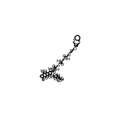 COc1cccc2c1C(=O)c1c(O)c3c(c(O)c1C2=O)C[C@@](O)(C(=O)NNC(=O)CCSCC(=O)NCCNC(=O)CCOCCOCCOc1cc2nc(c1)CSC1CCCCCCC(C1)SC2)C[C@@H]3O[C@H]1C[C@H]2[C@H](O[C@@H]3[C@@H](OC)OCCN32)[C@H](C)O1